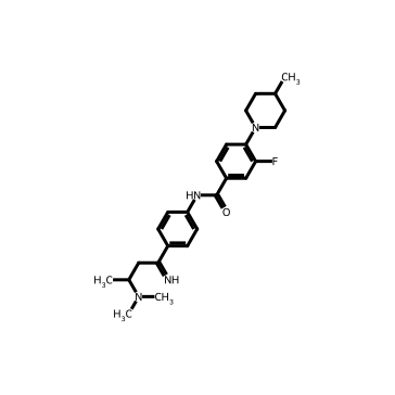 CC1CCN(c2ccc(C(=O)Nc3ccc(C(=N)CC(C)N(C)C)cc3)cc2F)CC1